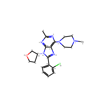 CC(=O)N1CCN(c2nc(C)nc3c2nc(-c2ccccc2Cl)n3[C@@H]2CCOC2)CC1